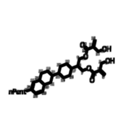 C=C(CO)C(=O)OCC(COC(=O)C(=C)CO)C1CCC(C2CCC3C=C(CCCCC)C=CC3C2)CC1